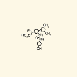 CC1CC(C)CN(c2ccc(C(CC(=O)O)C(C)C)cc2NC(=O)Nc2ccc(O)cc2)C1